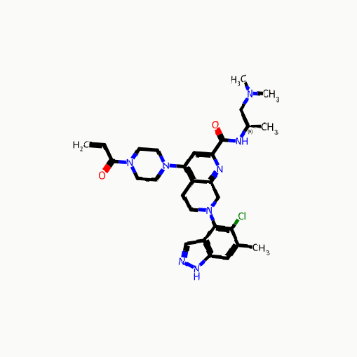 C=CC(=O)N1CCN(c2cc(C(=O)N[C@H](C)CN(C)C)nc3c2CCN(c2c(Cl)c(C)cc4[nH]ncc24)C3)CC1